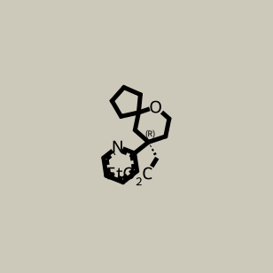 CCOC(=O)C[C@@]1(c2ccccn2)CCOC2(CCCC2)C1